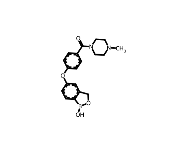 CN1CCN(C(=O)c2ccc(Oc3ccc4c(c3)COB4O)cc2)CC1